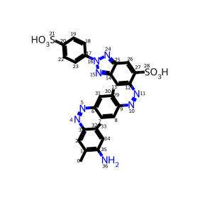 Cc1cc(/N=N\c2ccc(/N=N\c3cc4nn(-c5ccc(S(=O)(=O)O)cc5)nc4cc3S(=O)(=O)O)c(C)c2)c(C)cc1N